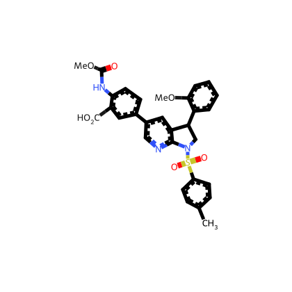 COC(=O)Nc1ccc(-c2cnc3c(c2)C(c2ccccc2OC)CN3S(=O)(=O)c2ccc(C)cc2)cc1C(=O)O